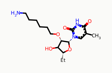 CC[C@H]1O[C@@H](n2cc(C)c(=O)[nH]c2=O)[C@@H](OCCCCCCN)C1O